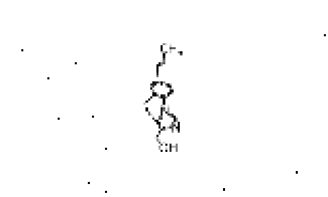 C/C=C/c1ccc2c(c1)CCc1c(CO)ncn1-2